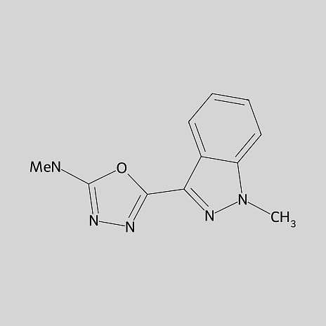 CNc1nnc(-c2nn(C)c3ccccc23)o1